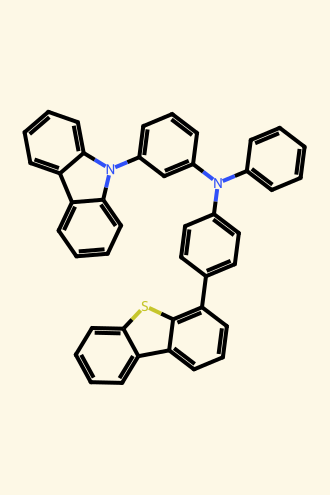 c1ccc(N(c2ccc(-c3cccc4c3sc3ccccc34)cc2)c2cccc(-n3c4ccccc4c4ccccc43)c2)cc1